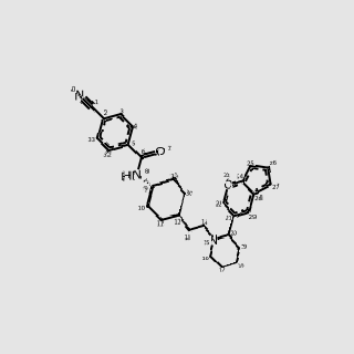 N#Cc1ccc(C(=O)N[C@H]2CC[C@H](CCN3CCCCC3c3coc4cccc-4c3)CC2)cc1